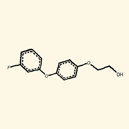 OCCOc1ccc(Oc2cccc(F)c2)cc1